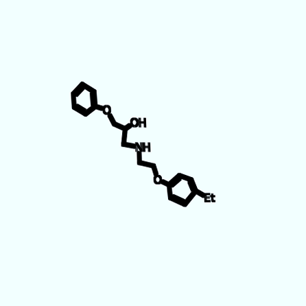 [CH2]Cc1ccc(OCCNCC(O)COc2ccccc2)cc1